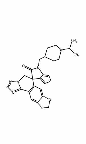 CC(C)N1CCC(CN2C(=O)C3(Cn4nnnc4-c4cc5c(cc43)OCO5)c3ccccc32)CC1